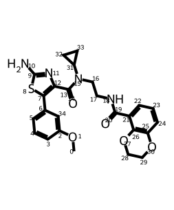 COc1cccc(-c2sc(N)nc2C(=O)N(CCNC(=O)c2cccc3c2OCCO3)C2CC2)c1